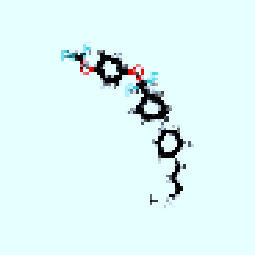 CCCC[C@H]1CC[C@H](c2ccc(C(F)(F)Oc3ccc(OC(F)F)cc3)cc2)CC1